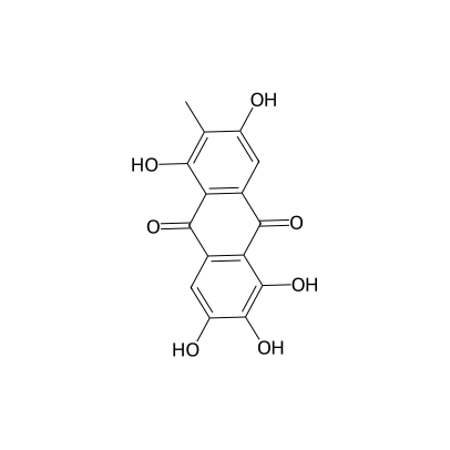 Cc1c(O)cc2c(c1O)C(=O)c1cc(O)c(O)c(O)c1C2=O